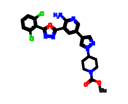 CC(C)(C)OC(=O)N1CCC(n2cc(-c3cnc(N)c(-c4nnc(-c5c(Cl)cccc5Cl)o4)c3)cn2)CC1